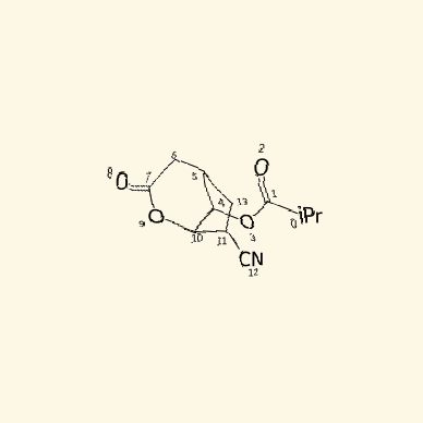 CC(C)C(=O)OC1C2CC(=O)OC1C(C#N)C2